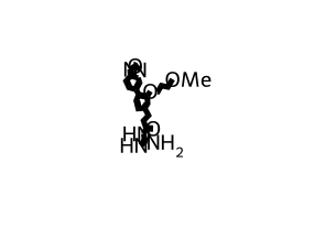 COCCCOc1cc(CCC(=O)NC(=N)N)ccc1-c1ccc2nonc2c1